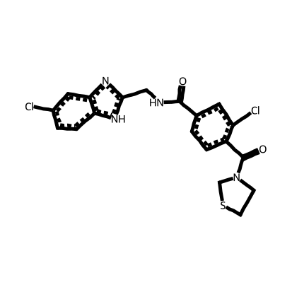 O=C(NCc1nc2cc(Cl)ccc2[nH]1)c1ccc(C(=O)N2CCSC2)c(Cl)c1